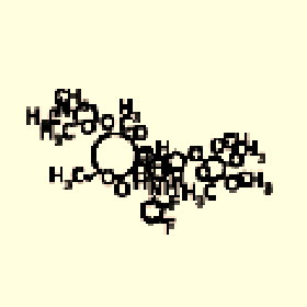 CC[C@H]1CCC[C@H](O[C@H]2CC[C@H](N(C)C)[C@@H](C)O2)[C@@H](C)C(=O)C2=C[C@H]3[C@@H]4C[C@H](O[C@@H]5O[C@@H](C)[C@H](OC)[C@@H](OC)[C@H]5OC)C[C@H]4[C@H]4[C@@H]([C@H]3[C@@H]2CC(=O)O1)N4c1cccc(F)c1F